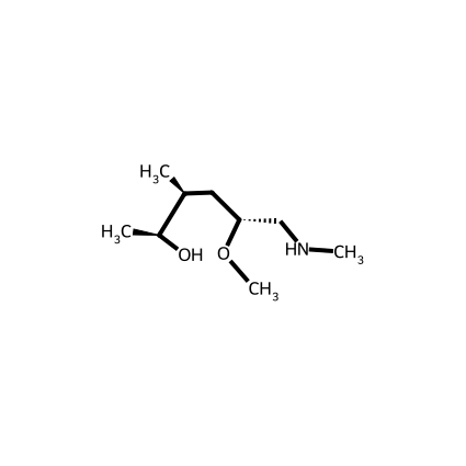 CNC[C@@H](C[C@H](C)[C@H](C)O)OC